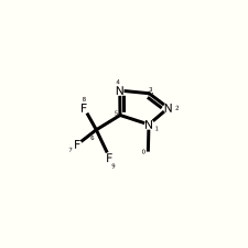 Cn1n[c]nc1C(F)(F)F